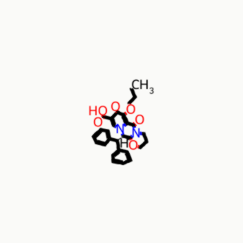 CCCCOc1c2n(cc(C(=O)O)c1=O)[C@@H](C(c1ccccc1)c1ccccc1)[C@@H]1OCCCN1C2=O